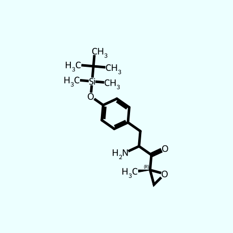 CC(C)(C)[Si](C)(C)Oc1ccc(CC(N)C(=O)[C@@]2(C)CO2)cc1